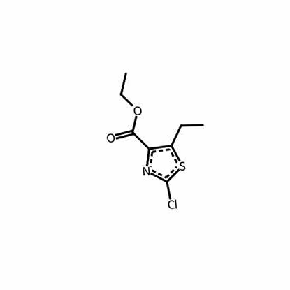 CCOC(=O)c1nc(Cl)sc1CC